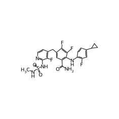 CNS(=O)(=O)Nc1nccc(Cc2cc(C(N)=O)c(Nc3ccc(C4CC4)cc3F)c(F)c2F)c1F